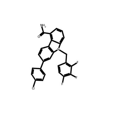 NC(=O)c1cccc2c1c1[c]cc(-c3ccc(Cl)cc3)cc1n2Cc1ccc(F)c(F)c1F